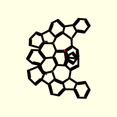 N#Cc1cc(-n2c3ccccc3c3ccc4c5ccccc5n(-c5ccccc5)c4c32)c(-c2c(C#N)cccc2C(F)(F)F)c(-n2c3ccccc3c3ccc4c5ccccc5n(-c5ccccc5)c4c32)c1